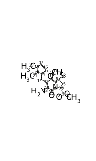 COC(=O)[C@H]1CC(=S)c2c(OC)c(Cc3cccc(C)c3C)c(N)c(=O)n21